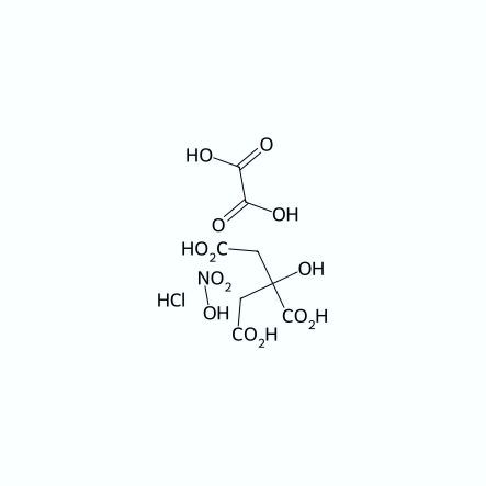 Cl.O=C(O)C(=O)O.O=C(O)CC(O)(CC(=O)O)C(=O)O.O=[N+]([O-])O